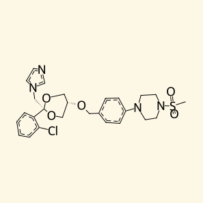 CS(=O)(=O)N1CCN(c2ccc(CO[C@H]3CO[C@](Cn4ccnc4)(c4ccccc4Cl)OC3)cc2)CC1